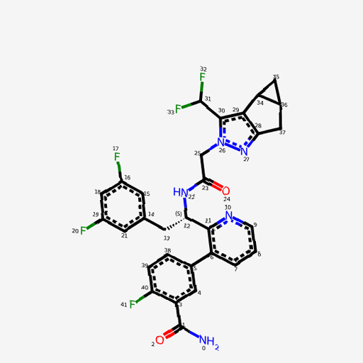 NC(=O)c1cc(-c2cccnc2[C@H](Cc2cc(F)cc(F)c2)NC(=O)Cn2nc3c(c2C(F)F)C2CC2C3)ccc1F